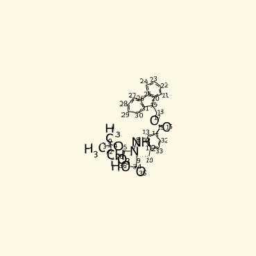 CC(C)(C)OC(=O)N(N)[C@H](Cc1ccc(C(=O)OCC2c3ccccc3-c3ccccc32)cc1)C(=O)O